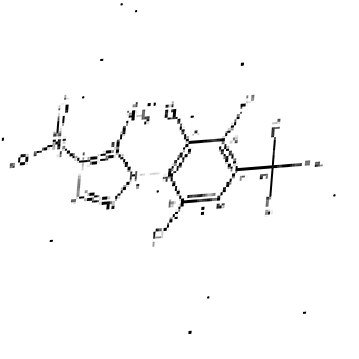 Nc1c([N+](=O)[O-])cnn1-c1c(Cl)cc(C(F)(F)F)c(F)c1Cl